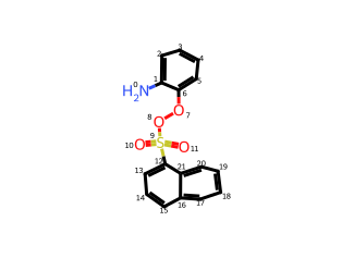 Nc1ccccc1OOS(=O)(=O)c1cccc2ccccc12